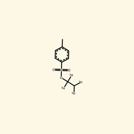 [2H]C([2H])C([2H])([2H])OS(=O)(=O)c1ccc(C)cc1